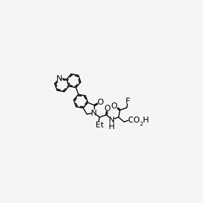 CCC(C(=O)NC(CC(=O)O)C(=O)CF)N1Cc2ccc(-c3cccc4ncccc34)cc2C1=O